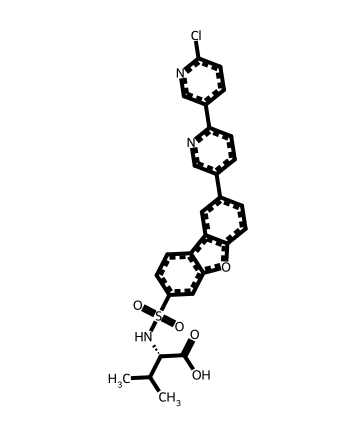 CC(C)[C@H](NS(=O)(=O)c1ccc2c(c1)oc1ccc(-c3ccc(-c4ccc(Cl)nc4)nc3)cc12)C(=O)O